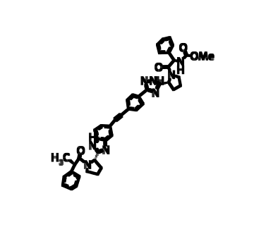 COC(=O)N[C@@H](C(=O)N1CCC[C@H]1c1nc(-c2ccc(C#Cc3ccc4[nH]c([C@@H]5CCCN5C(=O)[C@H](C)c5ccccc5)nc4c3)cc2)n[nH]1)c1ccccc1